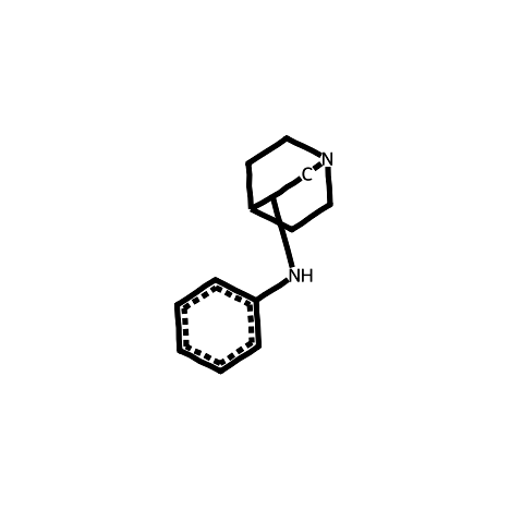 c1ccc(NC2CN3CCC2CC3)cc1